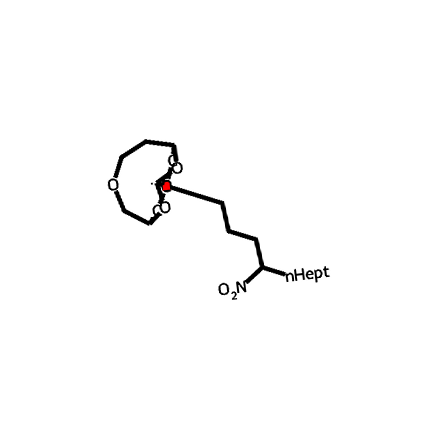 [CH2]CCCCCCC(CCC[C]1OC2CCOCC(CCOC2)O1)[N+](=O)[O-]